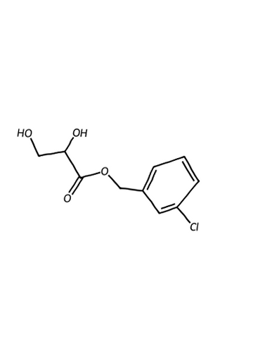 O=C(OCc1cccc(Cl)c1)C(O)CO